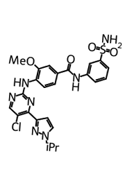 COc1cc(C(=O)Nc2cccc(S(N)(=O)=O)c2)ccc1Nc1ncc(Cl)c(-c2ccn(C(C)C)n2)n1